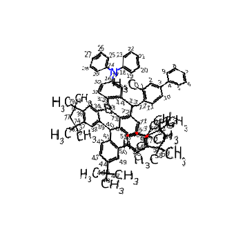 Cc1cc(-c2ccccc2)ccc1C1c2cc(N(c3ccccc3)c3ccccc3)ccc2B2c3cc4c(cc3C(c3ccc(C(C)(C)C)cc3-c3ccc5c(c3)C(C)(C)CC5(C)C)c3cc(C(C)(C)C)cc1c32)C(C)(C)CC4(C)C